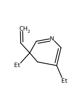 C=CC1(CC)C=NC=C(CC)C1